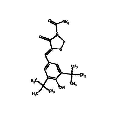 CC(C)(C)c1cc(/C=C2\SCN(C(N)=O)C2=O)cc(C(C)(C)C)c1O